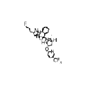 C[C@@H]1[C@H]2C[C@@H](Oc3ccc(C(F)(F)F)cn3)[C@H](C2)N1C(=O)c1ccccc1-n1ncc(CCCF)n1